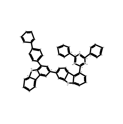 c1ccc(-c2ccc(-c3cc(-c4ccc5c(c4)oc4cccc(-c6nc(-c7ccccc7)nc(-c7ccccc7)n6)c45)cc4c3sc3ccccc34)cc2)cc1